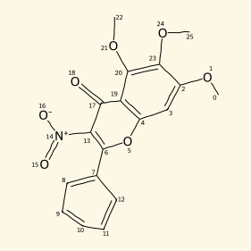 COc1cc2oc(-c3ccccc3)c([N+](=O)[O-])c(=O)c2c(OC)c1OC